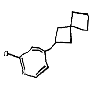 Clc1cc(C2CC3(CCC3)C2)ccn1